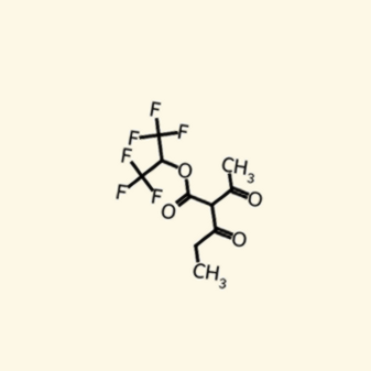 CCC(=O)C(C(C)=O)C(=O)OC(C(F)(F)F)C(F)(F)F